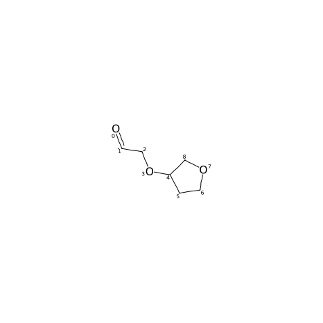 O=[C]COC1CCOC1